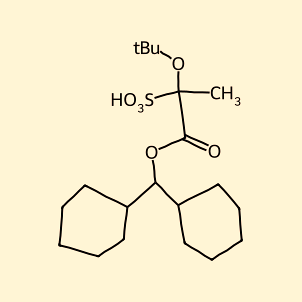 CC(C)(C)OC(C)(C(=O)OC(C1CCCCC1)C1CCCCC1)S(=O)(=O)O